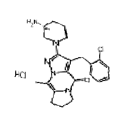 Cc1c2n(c(=O)c3c(Cc4ccccc4Cl)c(N4CCC[C@@H](N)C4)nn13)CCC2.Cl